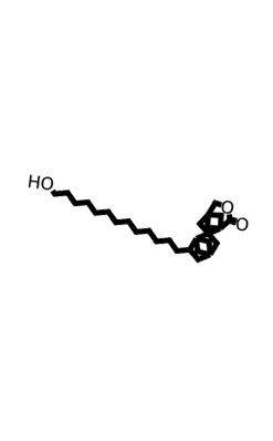 O=C1OCC23CC1(C2)C1(C3)CC23CC(CCCCCCCCCCCCCO)C1(C2)C3